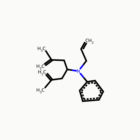 C=CCN(c1ccccc1)C(CC(=C)C)CC(=C)C